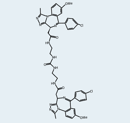 COc1ccc2c(c1)C(c1ccc(Cl)cc1)=NC(CC(=O)NCCNC(=O)NCCNC(=O)C[C@@H]1N=C(c3ccc(Cl)cc3)c3cc(OC)ccc3-n3c(C)nnc31)c1nnc(C)n1-2